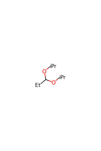 [CH2]CC(OC(C)C)OC(C)C